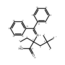 CCC(CC(C)(C)F)(N=C(c1ccccc1)c1ccccc1)C(=O)O